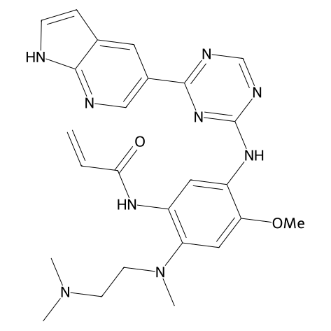 C=CC(=O)Nc1cc(Nc2ncnc(-c3cnc4[nH]ccc4c3)n2)c(OC)cc1N(C)CCN(C)C